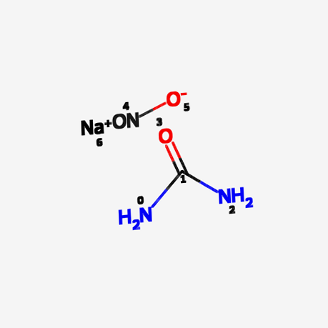 NC(N)=O.O=N[O-].[Na+]